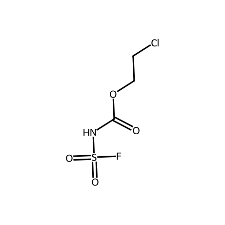 O=C(NS(=O)(=O)F)OCCCl